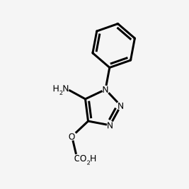 Nc1c(OC(=O)O)nnn1-c1ccccc1